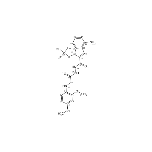 COc1cc(SC)ccc1NCC(=O)NNC(=O)c1cc2c(N)cccc2n1CC(F)(F)F